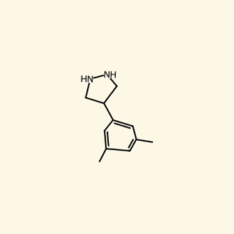 Cc1cc(C)cc(C2CNNC2)c1